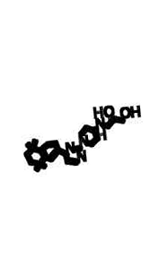 CC1(C)CCC(C)(C)c2cc(-c3ccnc(N4CCC(NC[C@H](O)CO)CC4)n3)ccc21